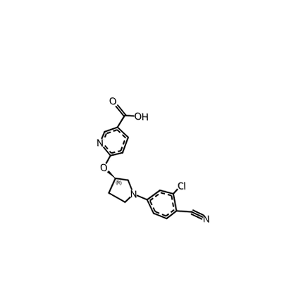 N#Cc1ccc(N2CC[C@@H](Oc3ccc(C(=O)O)cn3)C2)cc1Cl